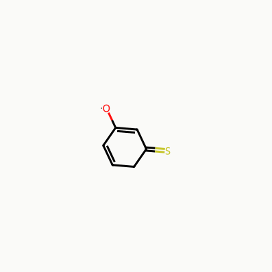 [O]C1=CC(=S)CC=C1